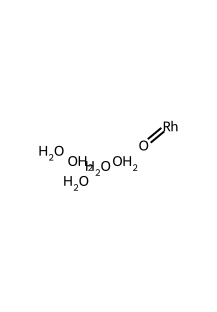 O.O.O.O.O.[O]=[Rh]